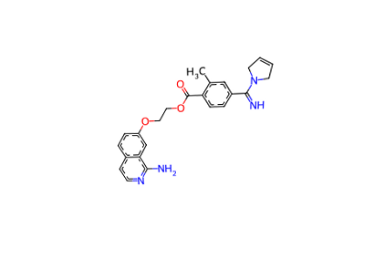 Cc1cc(C(=N)N2CC=CC2)ccc1C(=O)OCCOc1ccc2ccnc(N)c2c1